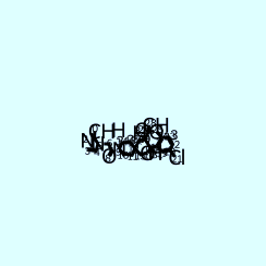 Cc1nccn1CC(=O)N1CCC2(CC1)CO[C@H]1c3cc(Cl)ccc3OC(C)(C)[C@@H]1C2